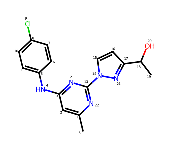 Cc1cc(Nc2ccc(Cl)cc2)nc(-n2ccc(C(C)O)n2)n1